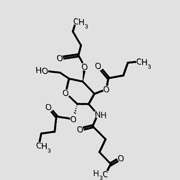 CCCC(=O)OC1C(NC(=O)CCC(C)=O)[C@H](OC(=O)CCC)OC(CO)[C@H]1OC(=O)CCC